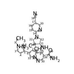 CCn1ccc(-c2cc3c(NC4CN(c5ccc(C#N)cn5)CC4(C)C)c(C(N)=O)cnn3c2)n1